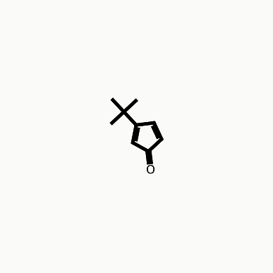 CC(C)(C)C1=CC(=O)C=C1